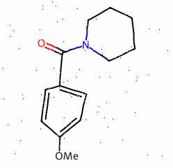 COc1ccc(C(=O)N2CCCCC2)cc1